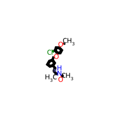 CCOc1ccc(OCc2cccc(/C=C/[C@H](C)NC(C)=O)c2)c(Cl)c1